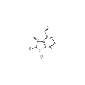 C=Cc1cccc2c1C(=C)C(CC)C2CC